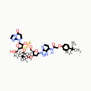 CC(C)(C)c1ccc(OCC(=O)Nc2ccnc3c2nnn3[C@H]2C[C@H](O)[C@@H](COP(=S)(S)OC3C(O[Si](C)(C)C(C)(C)C)[C@@H](CO)O[C@H]3n3ccc(=O)n4ccnc34)O2)cc1